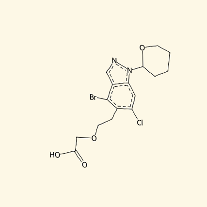 O=C(O)COCCc1c(Cl)cc2c(cnn2C2CCCCO2)c1Br